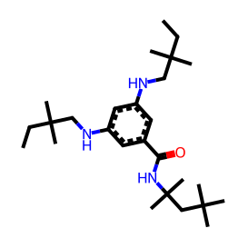 CCC(C)(C)CNc1cc(NCC(C)(C)CC)cc(C(=O)NC(C)(C)CC(C)(C)C)c1